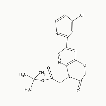 CC(C)(C)OC(=O)CN1C(=O)COc2cc(-c3cc(Cl)ccn3)cnc21